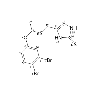 CC(Oc1ccc(Br)c(Br)c1)SCc1c[nH]c(=S)[nH]1